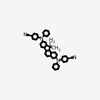 CC1(C)c2cc(N(c3ccccc3)c3ccc(C#N)cc3)ccc2-c2ccc3cc(N(c4ccccc4)c4ccc(C#N)cc4)ccc3c21